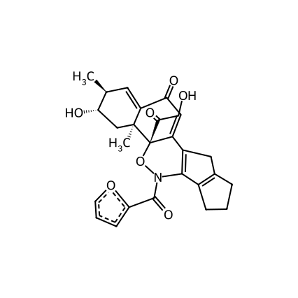 C[C@H]1C=C2C(=O)C=C3C4=C(C5=C(CCC5)C4)N(C(=O)c4ccco4)O[C@]3(C(=O)CO)[C@@]2(C)C[C@@H]1O